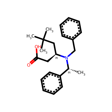 C[C@H](c1ccccc1)N(Cc1ccccc1)[C@@H](CC(=O)O)CC(C)(C)C